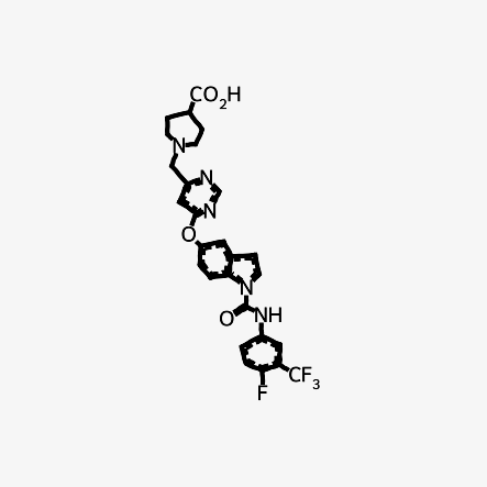 O=C(O)C1CCN(Cc2cc(Oc3ccc4c(ccn4C(=O)Nc4ccc(F)c(C(F)(F)F)c4)c3)ncn2)CC1